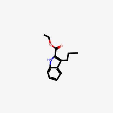 CCCc1c(C(=O)OCC)[nH]c2ccccc12